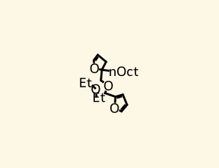 CCCCCCCCC1(COCc2ccco2)CC=CO1.CCOCC